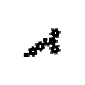 N#Cc1ccc(N2CCN(C(=O)Cn3nc(-c4ccccc4)cc3-c3ccccc3)CC2)nc1